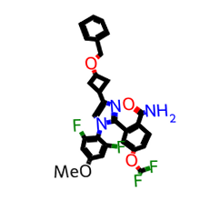 COc1cc(F)c(-n2cc(C3CC(OCc4ccccc4)C3)nc2-c2cc(OC(F)F)ccc2C(N)=O)c(F)c1